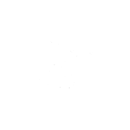 N#Cc1[nH]c(CCN)c(-c2ccc(CO)c(CO)c2CO)c1Cl